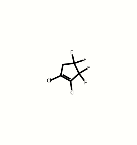 FC1(F)CC(Cl)=C(Cl)C1(F)F